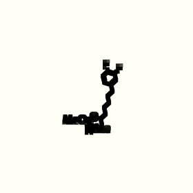 CO[SiH](OC)OC(C)CCCCCc1ccc(F)c(F)c1